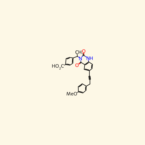 COc1ccc(CC#Cc2ccc3[nH]c(=O)n(C(C)c4ccc(C(=O)O)cc4)c(=O)c3c2)cc1